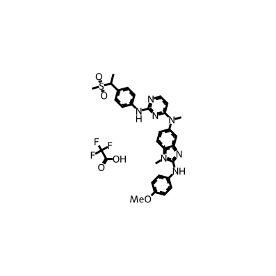 COc1ccc(Nc2nc3cc(N(C)c4ccnc(Nc5ccc(C(C)S(C)(=O)=O)cc5)n4)ccc3n2C)cc1.O=C(O)C(F)(F)F